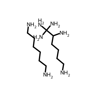 NCCCCC(N)C(N)(N)N.NCCCCCCN